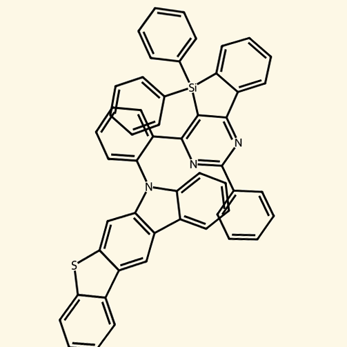 c1ccc(-c2nc(-c3ccccc3-n3c4ccccc4c4cc5c(cc43)sc3ccccc35)c3c(n2)-c2ccccc2[Si]3(c2ccccc2)c2ccccc2)cc1